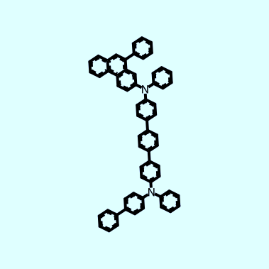 c1ccc(-c2ccc(N(c3ccccc3)c3ccc(-c4ccc(-c5ccc(N(c6ccccc6)c6ccc7c(c6)c(-c6ccccc6)cc6ccccc67)cc5)cc4)cc3)cc2)cc1